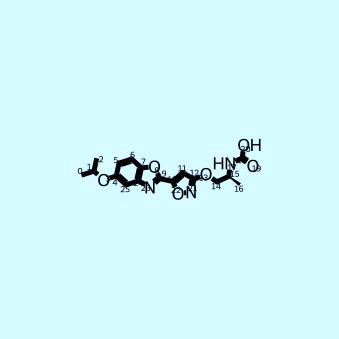 CC(C)Oc1ccc2oc(-c3cc(OC[C@H](C)NC(=O)O)no3)nc2c1